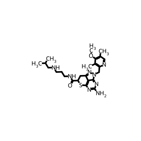 COc1c(C)cnc(Cn2nc3c4c(nc(N)nc42)SC(C(=O)NCCCNCC(C)C)C3)c1C